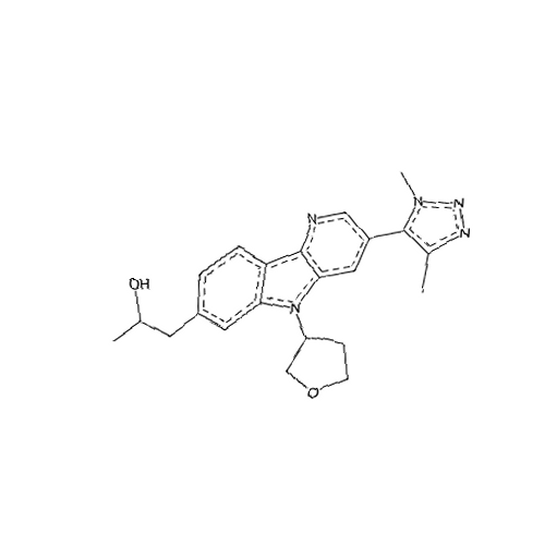 Cc1nnn(C)c1-c1cnc2c3ccc(CC(C)O)cc3n(C3CCOC3)c2c1